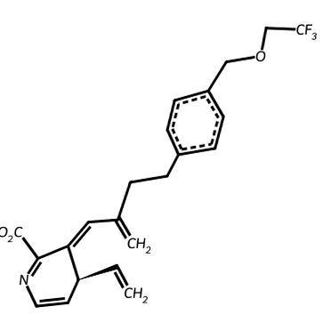 C=C[C@H]1C=CN=C(C(=O)OCC)/C1=C/C(=C)CCc1ccc(COCC(F)(F)F)cc1